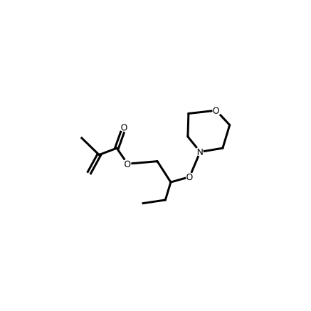 C=C(C)C(=O)OCC(CC)ON1CCOCC1